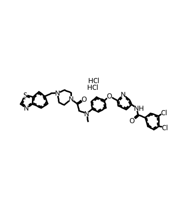 CN(CC(=O)N1CCN(Cc2ccc3ncsc3c2)CC1)c1ccc(Oc2ccc(NC(=O)c3ccc(Cl)c(Cl)c3)cn2)cc1.Cl.Cl